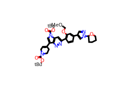 COCOc1cc(-c2cnn(C3CCCCO3)c2)ccc1-c1cc2c(nn1)c(C1=CCN(C(=O)OC(C)(C)C)CC1)cn2C(=O)OC(C)(C)C